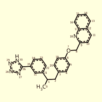 CC(Cc1ccc(OCc2ccc3ccccc3n2)cc1)c1cccc(-c2nnn[nH]2)c1